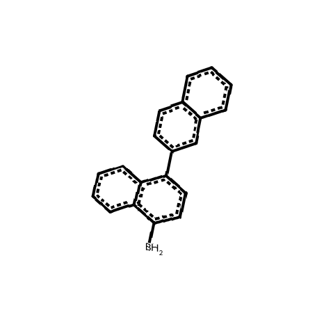 Bc1ccc(-c2ccc3ccccc3c2)c2ccccc12